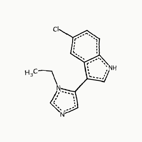 CCn1cncc1-c1c[nH]c2ccc(Cl)cc12